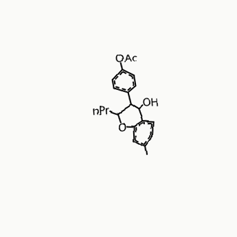 CCCC1Oc2cc(C)ccc2C(O)C1c1ccc(OC(C)=O)cc1